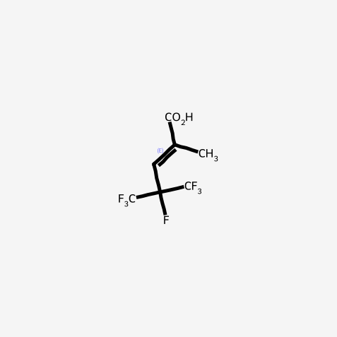 C/C(=C\C(F)(C(F)(F)F)C(F)(F)F)C(=O)O